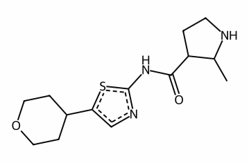 CC1NCCC1C(=O)Nc1ncc(C2CCOCC2)s1